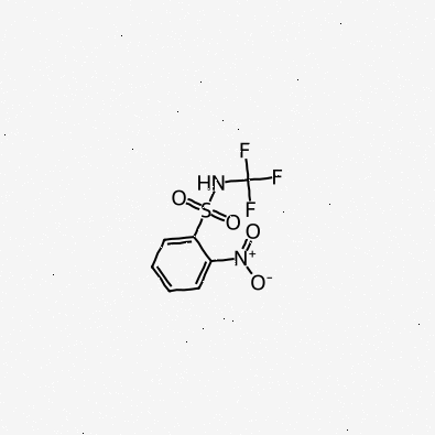 O=[N+]([O-])c1ccccc1S(=O)(=O)NC(F)(F)F